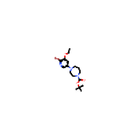 CCOc1cc(N2CCCN(C(=O)OC(C)(C)C)CC2)cnc1Br